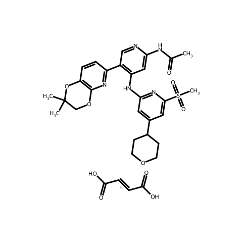 CC(=O)Nc1cc(Nc2cc(C3CCOCC3)cc(S(C)(=O)=O)n2)c(-c2ccc3c(n2)OCC(C)(C)O3)cn1.O=C(O)/C=C/C(=O)O